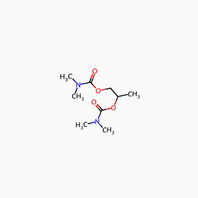 CC(COC(=O)N(C)C)OC(=O)N(C)C